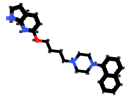 c1ccc2c(N3CCN(CCCCOc4ccc5cc[nH]c5n4)CC3)cccc2c1